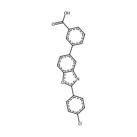 O=C(O)c1cccc(-c2ccc3oc(-c4ccc(Cl)cc4)nc3c2)c1